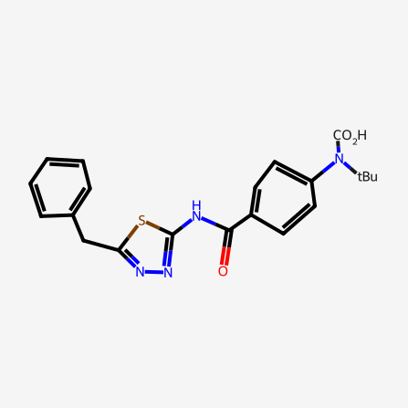 CC(C)(C)N(C(=O)O)c1ccc(C(=O)Nc2nnc(Cc3ccccc3)s2)cc1